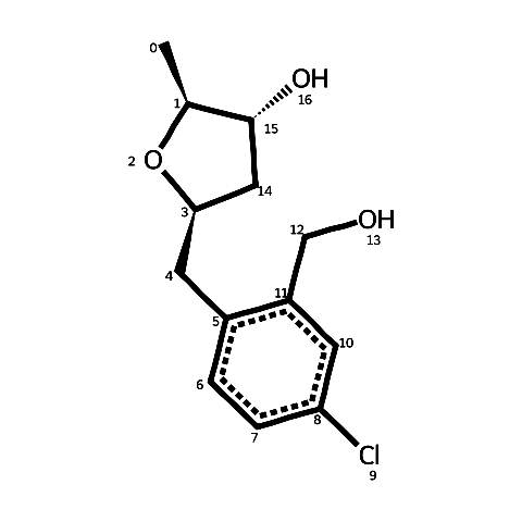 C[C@@H]1O[C@H](Cc2ccc(Cl)cc2CO)C[C@H]1O